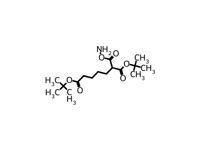 CC(C)(C)OC(=O)CCCCC(C(=O)ON)C(=O)OC(C)(C)C